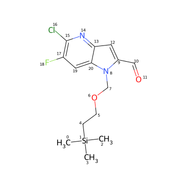 C[Si](C)(C)CCOCn1c(C=O)cc2nc(Cl)c(F)cc21